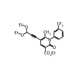 CCOC(=O)c1cc(C#CC(OCC)OCC)c(C)n(-c2cccc(C(F)(F)F)c2)c1=O